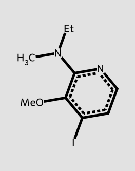 CCN(C)c1nccc(I)c1OC